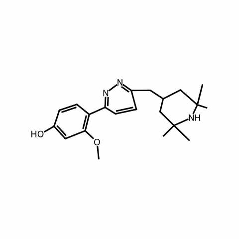 COc1cc(O)ccc1-c1ccc(CC2CC(C)(C)NC(C)(C)C2)nn1